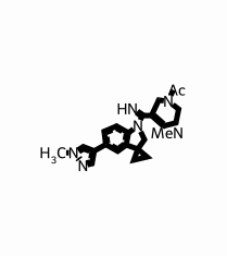 CNC1=C(C(=N)N2CC3(CC3)c3cc(-c4cnn(C)c4)ccc32)CN(C(C)=O)CC1